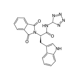 O=C(NC1N=NN=N1)[C@@H](Cc1c[nH]c2ccccc12)N1C(=O)c2ccccc2C1=O